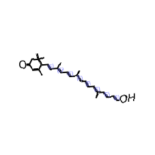 CC1=CC(=O)CC(C)(C)C1/C=C/C(C)=C/C=C/C(C)=C/C=C/C=C(C)/C=C/C=C/O